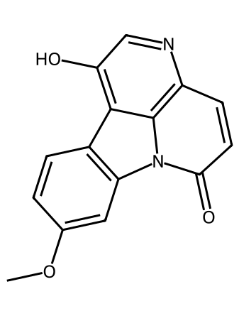 COc1ccc2c3c(O)cnc4ccc(=O)n(c2c1)c43